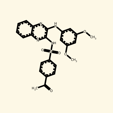 COc1cc(Nc2nc3ccccc3nc2NS(=O)(=O)c2ccc(C(C)=O)cc2)cc(OC)c1